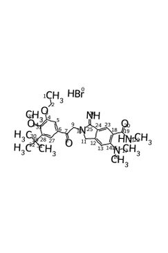 Br.CCOc1cc(C(=O)CN2Cc3cc(N(C)C)c(C(=O)NC)cc3C2=N)cc(C(C)(C)C)c1OC